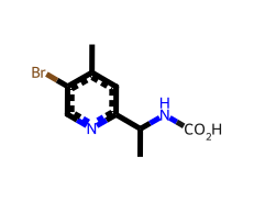 Cc1cc(C(C)NC(=O)O)ncc1Br